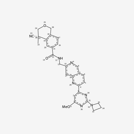 COc1cc(-c2ccc3cnc(CNC(=O)c4ccc5c(c4)[C@](C)(C#N)COC5)cc3n2)nc(N2CCC2)n1